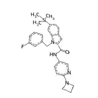 C[Si](C)(C)c1ccc2cc(C(=O)Nc3ccc(N4CCC4)nc3)n(Cc3cccc(F)c3)c2c1